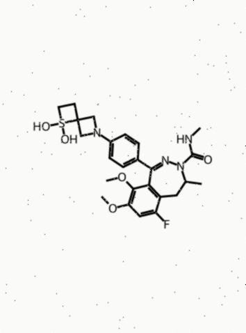 CNC(=O)N1N=C(c2ccc(N3CC4(CCS4(O)O)C3)cc2)c2c(c(F)cc(OC)c2OC)CC1C